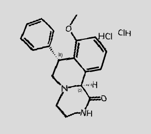 COc1cccc2c1[C@@H](c1ccccc1)CN1CCNC(=O)[C@H]21.Cl.Cl